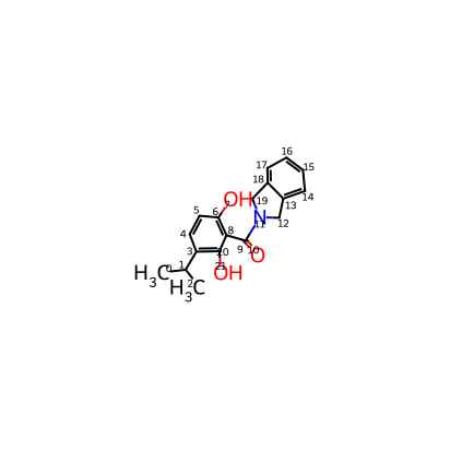 CC(C)c1ccc(O)c(C(=O)N2Cc3ccccc3C2)c1O